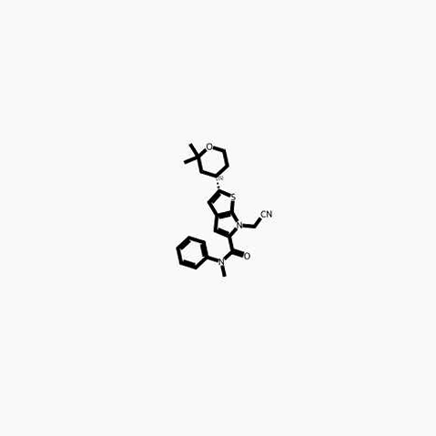 CN(C(=O)c1cc2cc([C@H]3CCOC(C)(C)C3)sc2n1CC#N)c1ccccc1